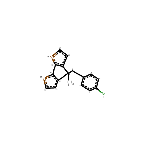 CC1(Cc2ccc(Br)cc2)c2ccsc2-c2sccc21